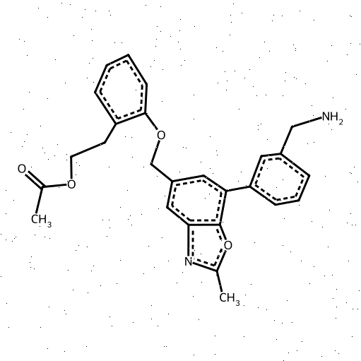 CC(=O)OCCc1ccccc1OCc1cc(-c2cccc(CN)c2)c2oc(C)nc2c1